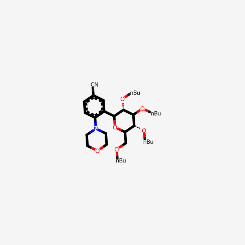 CCCCOCC1OC(c2cc(C#N)ccc2N2CCOCC2)[C@H](OCCCC)C(OCCCC)[C@@H]1OCCCC